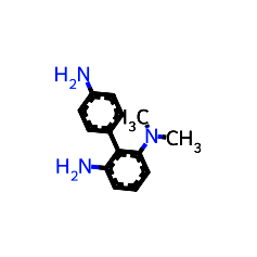 CN(C)c1cccc(N)c1-c1ccc(N)cc1